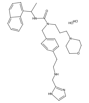 CC(NC(=O)N(CCCN1CCOCC1)Cc1ccc(CCNCc2ncc[nH]2)cc1)c1cccc2ccccc12.Cl.Cl